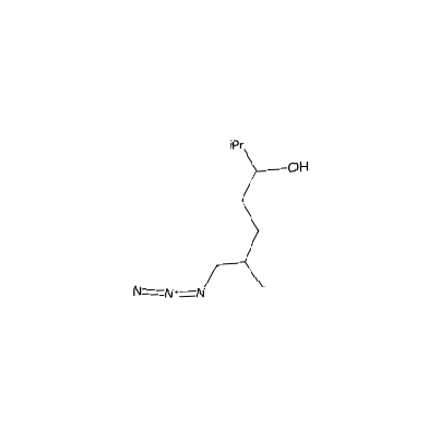 CC(CCC(O)C(C)C)CN=[N+]=[N-]